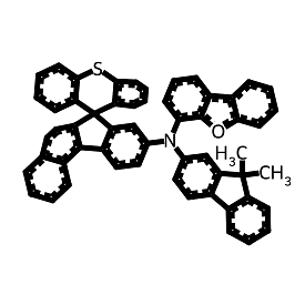 CC1(C)c2ccccc2-c2ccc(N(c3ccc4c(c3)C3(c5ccccc5Sc5ccccc53)c3ccc5ccccc5c3-4)c3cccc4c3oc3ccccc34)cc21